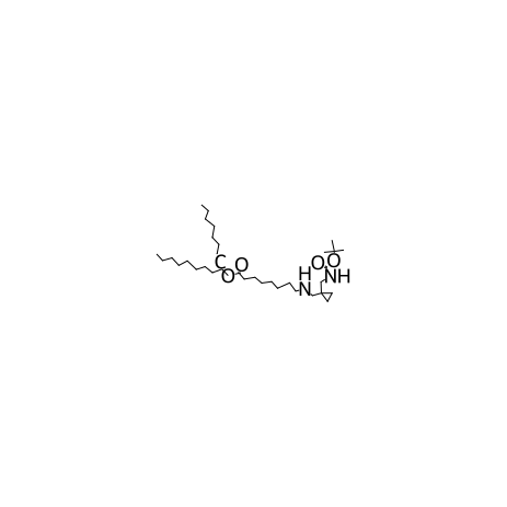 CCCCCCCCC(CCCCCCCC)OC(=O)CCCCCCCNCC1(CNC(=O)OC(C)(C)C)CC1